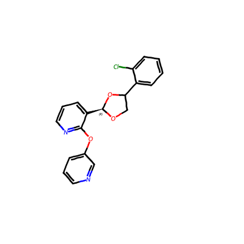 Clc1ccccc1C1CO[C@@H](c2cccnc2Oc2cccnc2)O1